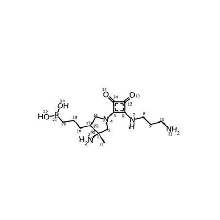 C[C@]1(N)CN(c2c(NCCCN)c(=O)c2=O)C[C@@H]1CCCB(O)O